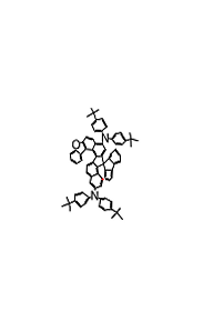 CC(C)(C)c1ccc(N(c2ccc(C(C)(C)C)cc2)c2ccc3c4c(ccc3c2)-c2c(cc(N(c3ccc(C(C)(C)C)cc3)c3ccc(C(C)(C)C)cc3)c3ccc5oc6ccccc6c5c23)C42c3ccccc3-c3ccccc32)cc1